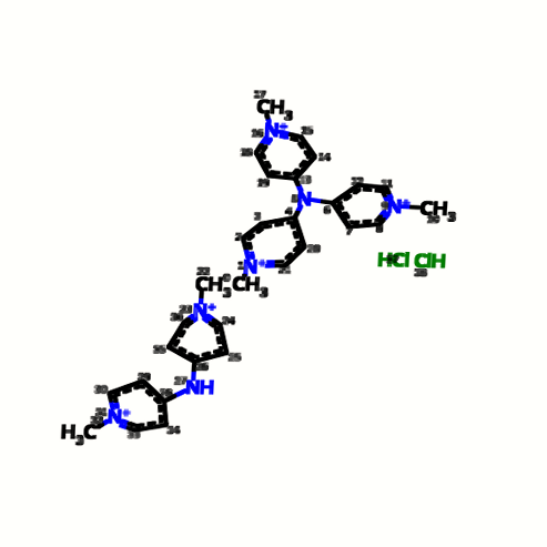 C[n+]1ccc(N(c2cc[n+](C)cc2)c2cc[n+](C)cc2)cc1.C[n+]1ccc(Nc2cc[n+](C)cc2)cc1.Cl.Cl